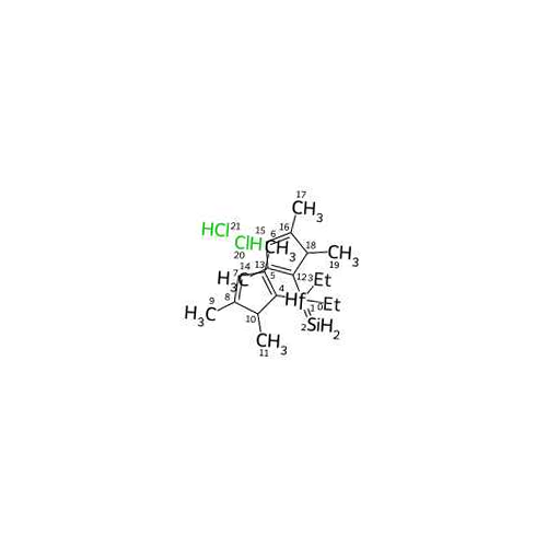 C[CH2][Hf](=[SiH2])([CH2]C)([C]1=C(C)C=C(C)C1C)[C]1=C(C)C=C(C)C1C.Cl.Cl